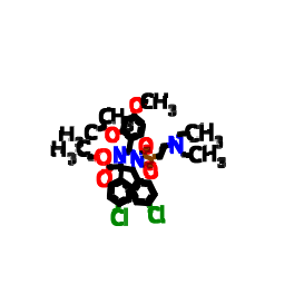 CCOC(=O)C1(c2ccc(Cl)cc2)N=C(c2ccc(OC)cc2OC(C)C)N(S(=O)(=O)CCN(CC)CC)C1c1ccc(Cl)cc1